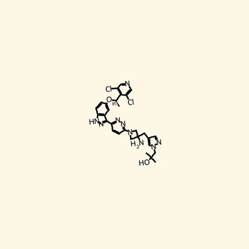 C[C@@H](Oc1ccc2[nH]nc(-c3ccc(N4CC(N)(Cc5cnn(CC(C)(C)O)c5)C4)nn3)c2c1)c1c(Cl)cncc1Cl